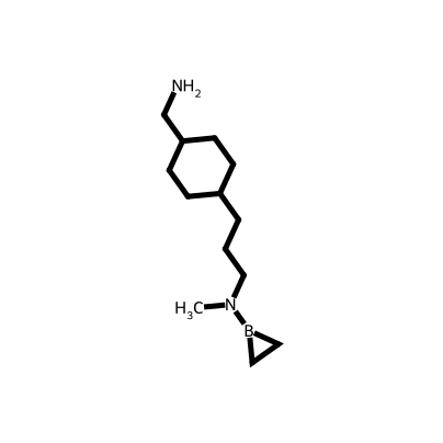 CN(CCCC1CCC(CN)CC1)B1CC1